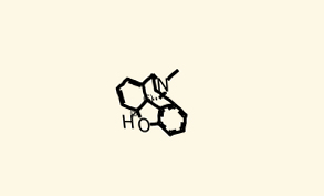 CN1CC[C@@]23C4=CC=C[C@@H]2Oc2cccc(c23)CC41